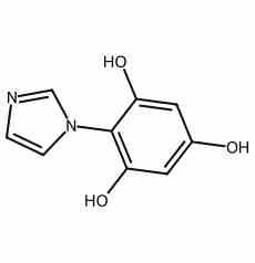 Oc1cc(O)c(-n2ccnc2)c(O)c1